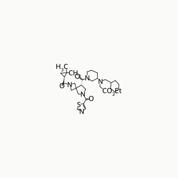 CCOC(=O)CN(CC1CCCCC1)[C@H]1CCCN(C(=O)[C@@H]2CN(C(=O)c3cncs3)CC23CN(C(=O)[C@H]2CC2(C)C)C3)C1